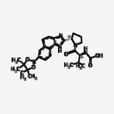 CC(C)[C@H](NC(=O)O)C(=O)N1CCC[C@H]1c1nc2ccc3cc(B4OC(C)(C)C(C)(C)O4)ccc3c2[nH]1